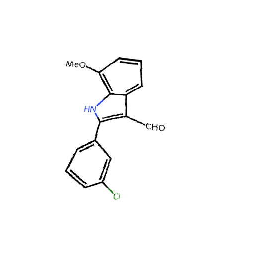 COc1cccc2c(C=O)c(-c3cccc(Cl)c3)[nH]c12